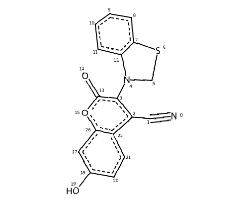 N#Cc1c(N2CSc3ccccc32)c(=O)oc2cc(O)ccc12